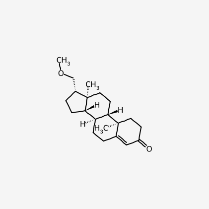 COC[C@H]1CC[C@H]2[C@@H]3CCC4=CC(=O)CC[C@]4(C)[C@H]3CC[C@]12C